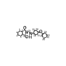 O=C1c2ccccc2C(=O)N1CNc1ccc(Oc2ccccc2)cc1